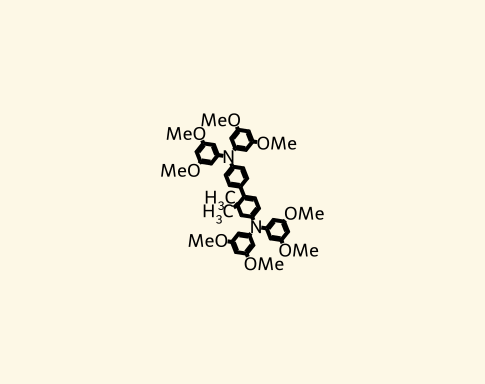 COc1cc(OC)cc(N(C2=CC=C(c3ccc(N(c4cc(OC)cc(OC)c4)c4cc(OC)cc(OC)c4)cc3)C(C)(C)C2)c2cc(OC)cc(OC)c2)c1